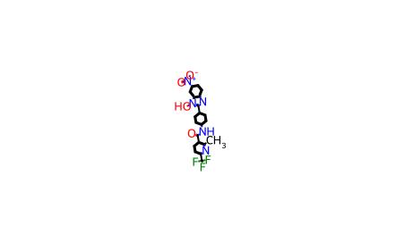 Cc1nc(C(F)(F)F)ccc1C(=O)Nc1ccc(-c2nc3ccc([N+](=O)[O-])cc3n2O)cc1